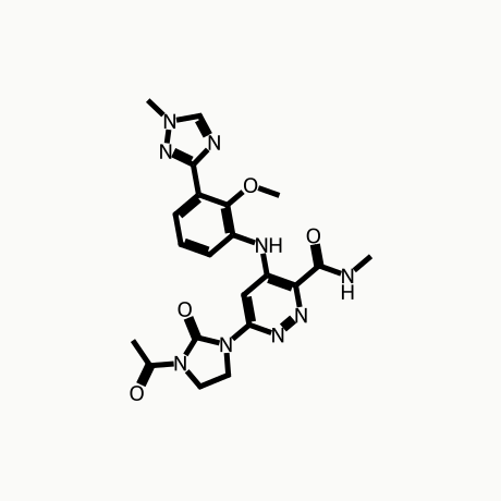 CNC(=O)c1nnc(N2CCN(C(C)=O)C2=O)cc1Nc1cccc(-c2ncn(C)n2)c1OC